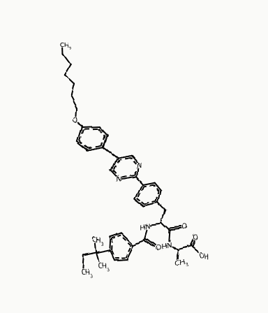 CCCCCCCOc1ccc(-c2cnc(-c3ccc(C[C@H](NC(=O)c4ccc(C(C)(C)CC)cc4)C(=O)N[C@H](C)C(=O)O)cc3)nc2)cc1